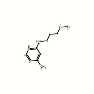 CCOCCCNc1cc(C)ccn1